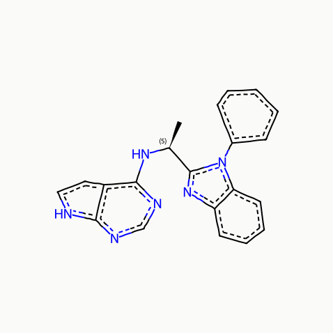 C[C@H](Nc1ncnc2[nH]ccc12)c1nc2ccccc2n1-c1ccccc1